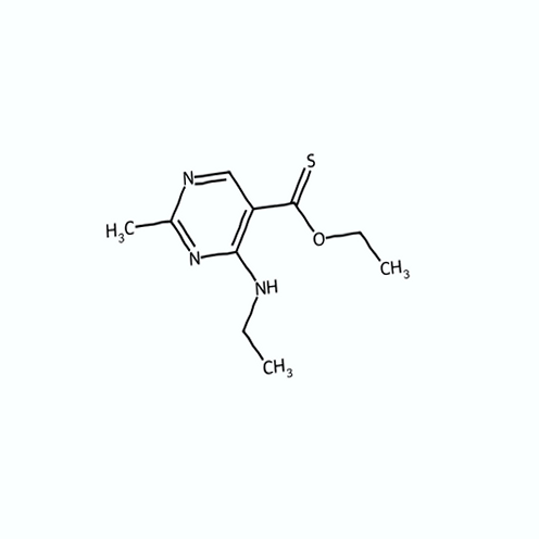 CCNc1nc(C)ncc1C(=S)OCC